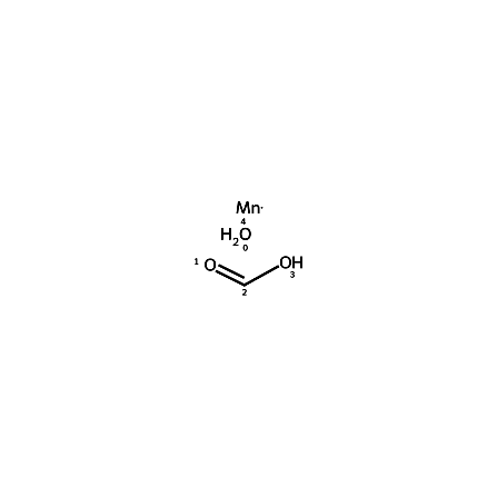 O.O=CO.[Mn]